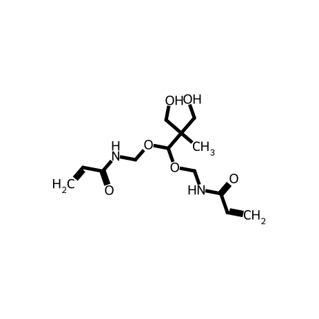 C=CC(=O)NCOC(OCNC(=O)C=C)C(C)(CO)CO